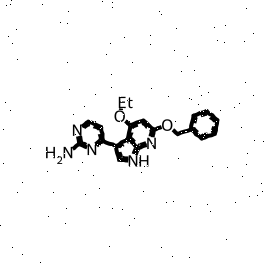 CCOc1cc(OCc2ccccc2)nc2[nH]cc(-c3ccnc(N)n3)c12